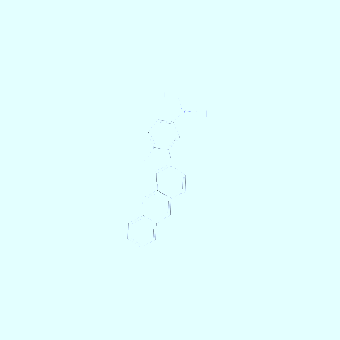 CN(C)c1ccc2sc3c4cc5ccccc5cc4ccc3c2c1